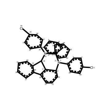 Clc1ccc(N(c2ccccc2)c2cccc3c2C(N(c2ccccc2)c2ccc(Cl)cc2)c2ccccc2-3)cc1